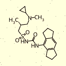 CC(CN(C)C1CC1)CS(=O)(=O)NC(=O)Nc1c2c(cc3c1CCC3)CCC2